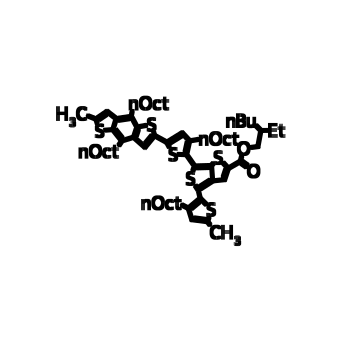 CCCCCCCCc1cc(C)sc1-c1sc(-c2sc(-c3cc4c(CCCCCCCC)c5sc(C)cc5c(CCCCCCCC)c4s3)cc2CCCCCCCC)c2sc(C(=O)OCC(CC)CCCC)cc12